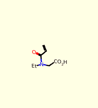 C=CC(=O)N(CC)CC(=O)O